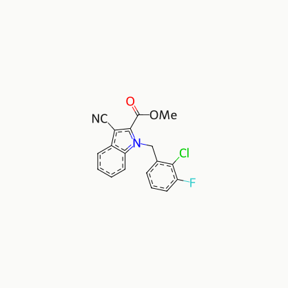 COC(=O)c1c(C#N)c2ccccc2n1Cc1cccc(F)c1Cl